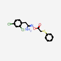 N/C(Cc1ccc(Cl)cc1Cl)=N\OC(=O)CSc1ccccc1